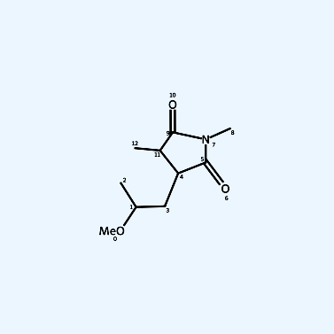 COC(C)CC1C(=O)N(C)C(=O)C1C